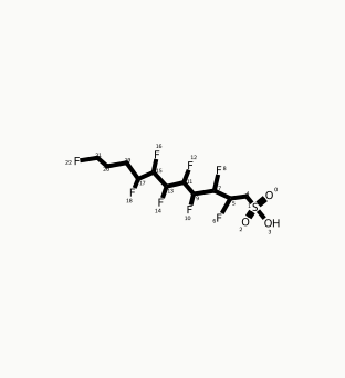 O=S(=O)(O)CC(F)C(F)C(F)C(F)C(F)C(F)C(F)CCCF